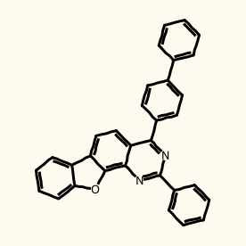 c1ccc(-c2ccc(-c3nc(-c4ccccc4)nc4c3ccc3c5ccccc5oc34)cc2)cc1